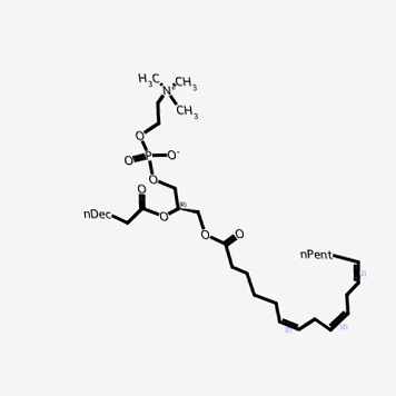 CCCCC/C=C\C/C=C\C/C=C\CCCCC(=O)OC[C@H](COP(=O)([O-])OCC[N+](C)(C)C)OC(=O)CCCCCCCCCCC